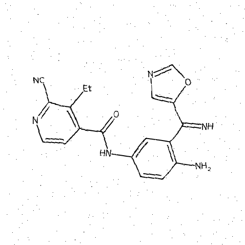 CCc1c(C(=O)Nc2ccc(N)c(C(=N)c3cnco3)c2)ccnc1C#N